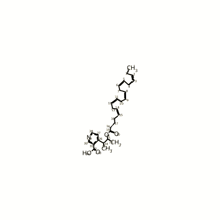 CC/C=C\C/C=C\C/C=C\C/C=C\C/C=C\CCCC(=O)OC(C)C(C)c1ccncc1C(=O)O